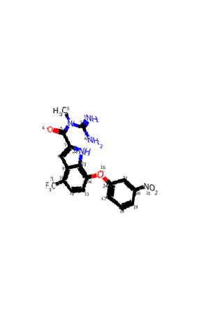 CN(C(=N)N)C(=O)c1cc2c(C(F)(F)F)ccc(Oc3cccc([N+](=O)[O-])c3)c2[nH]1